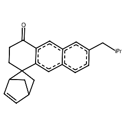 CC(C)Cc1ccc2cc3c(cc2c1)C(=O)CCC31CC2C=CC1C2